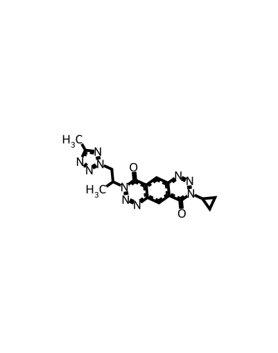 Cc1nnn(CC(C)n2nnc3cc4c(=O)n(C5CC5)nnc4cc3c2=O)n1